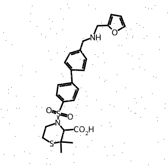 CC1(C)SCCN(S(=O)(=O)c2ccc(-c3ccc(CNCc4ccco4)cc3)cc2)C1C(=O)O